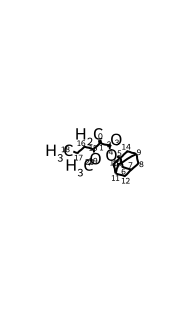 C=C(C(=O)OC12CC3CC(CC(C3)C1)C2)C(CCC)OC